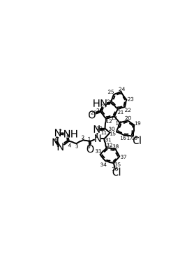 O=C(CCc1nnn[nH]1)N1N=C(c2c(-c3ccc(Cl)cc3)c3ccccc3[nH]c2=O)CC1c1ccc(Cl)cc1